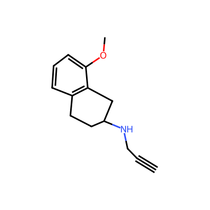 C#CCNC1CCc2cccc(OC)c2C1